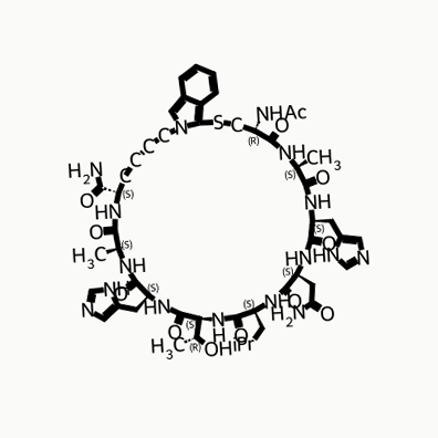 CC(=O)N[C@H]1CSc2c3ccccc3cn2CCCC[C@@H](C(N)=O)NC(=O)[C@H](C)NC(=O)[C@H](Cc2cnc[nH]2)NC(=O)[C@H]([C@@H](C)O)NC(=O)[C@H](CC(C)C)NC(=O)[C@H](CC(N)=O)NC(=O)[C@H](Cc2cnc[nH]2)NC(=O)[C@H](C)NC1=O